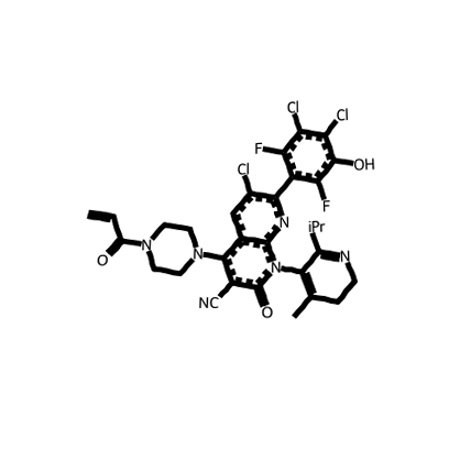 C=CC(=O)N1CCN(c2c(C#N)c(=O)n(C3=C(C)CCN=C3C(C)C)c3nc(-c4c(F)c(O)c(Cl)c(Cl)c4F)c(Cl)cc23)CC1